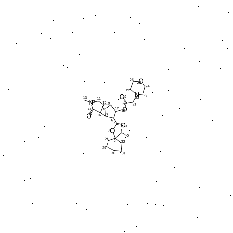 CCC1(OC(=O)C2C3CC(C4CN(C)C(=O)C43)C2OC(=O)CN2CCOCC2)CCCCC1